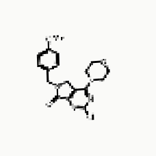 COc1ccc(CN2Cc3c(nc(Cl)nc3N3CCOCC3)C2=O)cc1